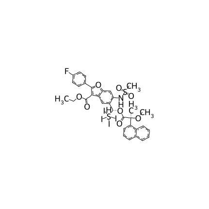 CCOC(=O)c1c(-c2ccc(F)cc2)oc2cc(NS(C)(=O)=O)c([C@H](OC(=O)[C@@](C)(OC)c3cccc4ccccc34)[SH](I)(I)(I)I)cc12